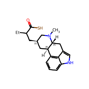 CCC(C[C@@H]1C[C@@H]2c3cccc4[nH]cc(c34)C[C@H]2N(C)C1)C(=O)S